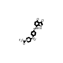 O=C(N1CCC([S+]([O-])c2ccc(SNc3ccc(Cl)c4c(Cl)c[nH]c34)cc2)CC1)C(F)(F)F